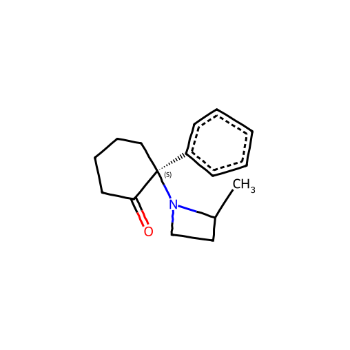 CC1CCN1[C@]1(c2ccccc2)CCCCC1=O